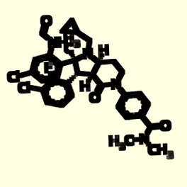 CN(C)C(=O)c1ccc(N2CC[C@H]3[C@@H](C2=O)[C@H](c2cccc(Cl)c2F)[C@@](C)(c2ccc(Cl)cc2NC=O)N3CC2CC2)cc1